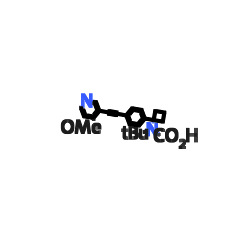 COc1ccncc1C#Cc1ccc(C2(N(C(=O)O)C(C)(C)C)CCC2)cc1